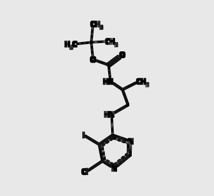 CC(CNc1ncnc(Cl)c1I)NC(=O)OC(C)(C)C